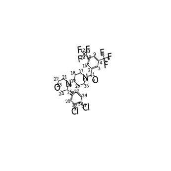 O=C(c1cc(C(F)(F)F)cc(C(F)(F)F)c1)N1CC[C@@H](N2CCOCC2)[C@@H](c2ccc(Cl)c(Cl)c2)C1